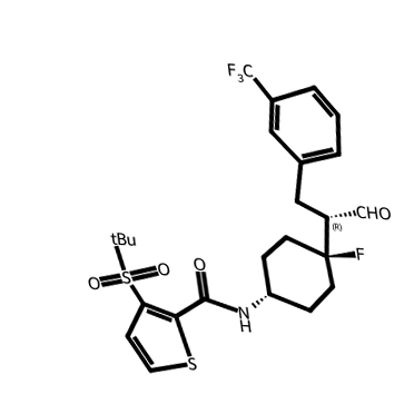 CC(C)(C)S(=O)(=O)c1ccsc1C(=O)N[C@H]1CC[C@@](F)([C@@H](C=O)Cc2cccc(C(F)(F)F)c2)CC1